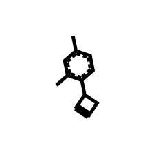 Cc1ccc(C2C#CC2)c(C)c1